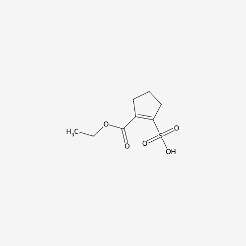 CCOC(=O)C1=C(S(=O)(=O)O)CCC1